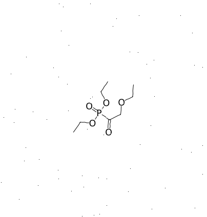 CCOCC(=O)P(=O)(OCC)OCC